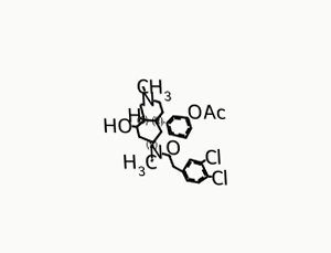 CC(=O)Oc1cccc([C@@]23CCN(C)C[C@H]2C(O)C[C@@H](N(C)C(=O)Cc2ccc(Cl)c(Cl)c2)C3)c1